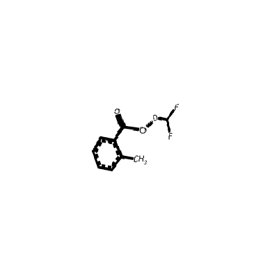 Cc1ccccc1C(=O)OOC(F)F